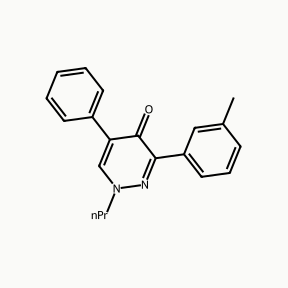 CCCn1cc(-c2ccccc2)c(=O)c(-c2cccc(C)c2)n1